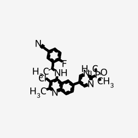 Cc1nc2ccc(-c3cnc(P(C)(C)=O)nc3)cc2c(N[C@H](C)c2cc(C#N)ccc2F)c1Cl